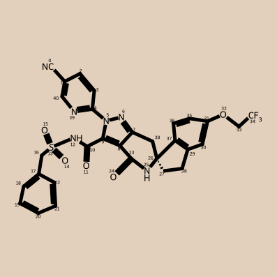 N#Cc1ccc(-n2nc3c(c2C(=O)NS(=O)(=O)Cc2ccccc2)C(=O)N[C@@]2(CCc4cc(OCC(F)(F)F)ccc42)C3)nc1